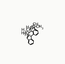 CC1=Cc2ccccc2C1c1cccc([Si](C)(C)C)c1[Si](C)(C)C